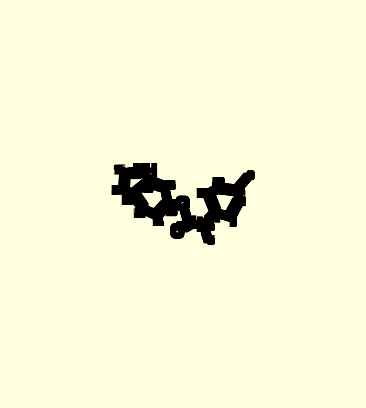 Cc1ccc(N(C)C(=O)Oc2ccc3cc[nH]c3c2)cc1